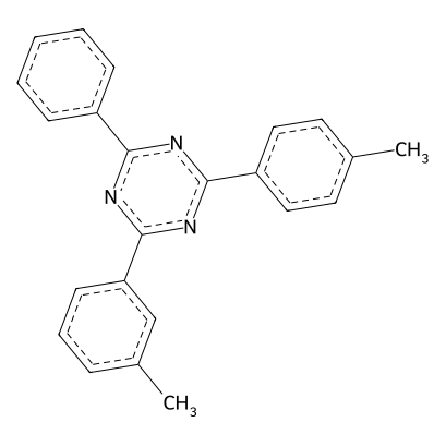 Cc1ccc(-c2nc(-c3ccccc3)nc(-c3cccc(C)c3)n2)cc1